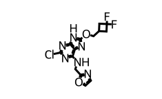 FC1(F)CC(COc2nc3c(NCc4ncco4)nc(Cl)nc3[nH]2)C1